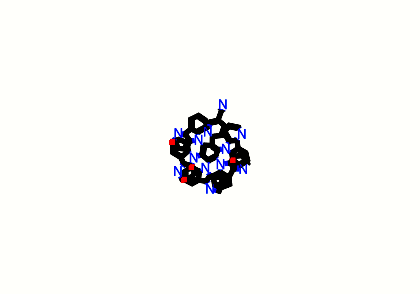 N#Cc1ccc(-c2c(-n3c4ccccc4c4ncccc43)c(-n3c4ccccc4c4ncccc43)c(-n3c4ccccc4c4ncccc43)c(-n3c4ccccc4c4ncccc43)c2-n2c3ccccc3c3ncccc32)nc1